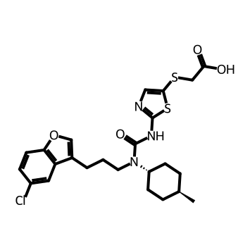 C[C@H]1CC[C@H](N(CCCc2coc3ccc(Cl)cc23)C(=O)Nc2ncc(SCC(=O)O)s2)CC1